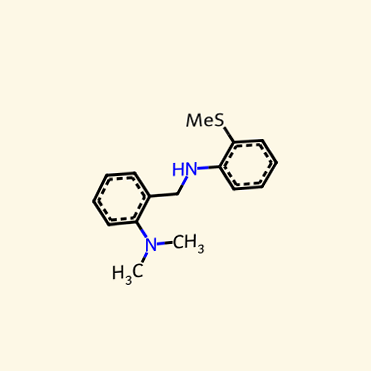 CSc1ccccc1NCc1ccccc1N(C)C